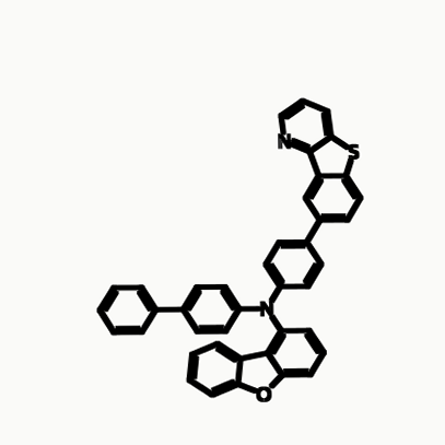 c1ccc(-c2ccc(N(c3ccc(-c4ccc5sc6cccnc6c5c4)cc3)c3cccc4oc5ccccc5c34)cc2)cc1